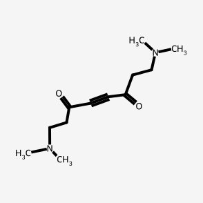 CN(C)CCC(=O)C#CC(=O)CCN(C)C